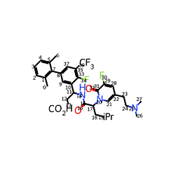 Cc1cccc(C)c1-c1cc(C(CC(=O)O)NC(=O)C(CC(C)C)n2cc(CCN(C)C)cc(F)c2=O)c(F)c(C(F)(F)F)c1